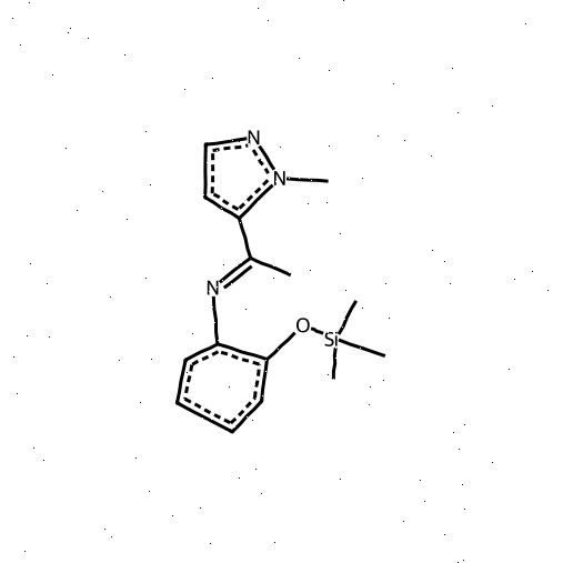 CC(=Nc1ccccc1O[Si](C)(C)C)c1ccnn1C